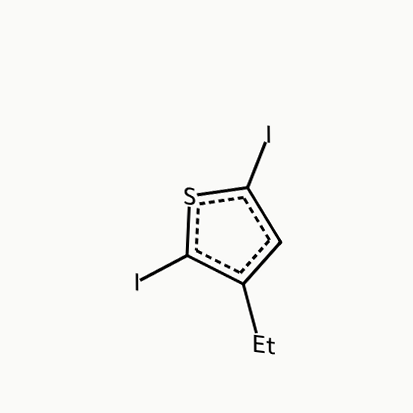 CCc1cc(I)sc1I